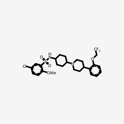 COc1ccc(Cl)cc1S(=O)(=O)NC1CCC(N2CCC(c3ccccc3OCC(F)(F)F)CC2)CC1